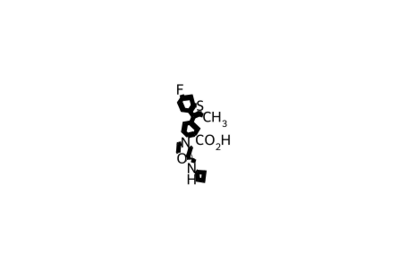 Cc1sc2cc(F)ccc2c1-c1ccc(N2CCO[C@H](CNC3CCC3)C2)c(C(=O)O)c1